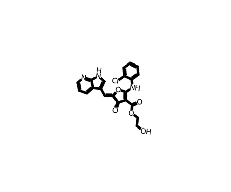 O=C(OCCO)C1=C(Nc2ccccc2Cl)OC(=Cc2c[nH]c3ncccc23)C1=O